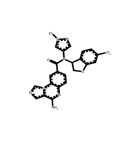 CCn1cc(N(C(=O)c2ccc3nc(N)c4cncn4c3c2)C2COc3cc(C(F)(F)F)ccc32)cn1